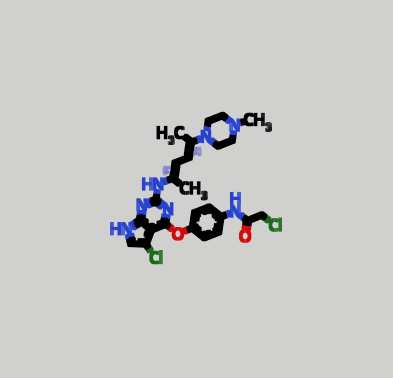 C/C(=C\C=C(/C)N1CCN(C)CC1)Nc1nc(Oc2ccc(NC(=O)CCl)cc2)c2c(Cl)c[nH]c2n1